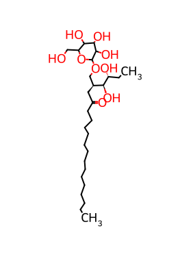 CCCCCCCCCCCCCCC(=O)C[C@@H](COC1OC(CO)C(O)C(O)C1O)[C@H](O)[C@H](O)CC